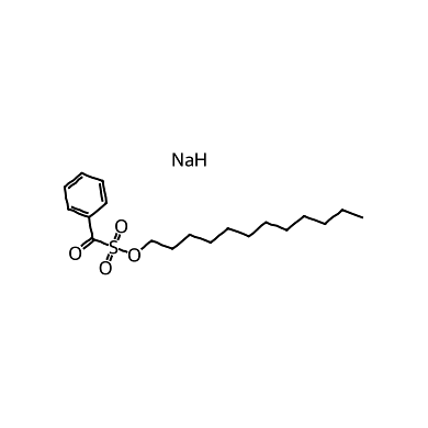 CCCCCCCCCCCCOS(=O)(=O)C(=O)c1ccccc1.[NaH]